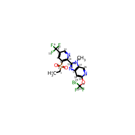 CCS(=O)(=O)c1cc(C(F)(F)F)cnc1-c1nc2cc(OC(F)(F)Br)ncc2n1C